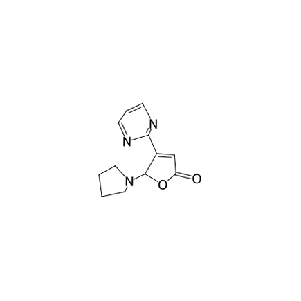 O=C1C=C(c2ncccn2)C(N2CCCC2)O1